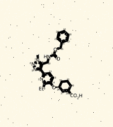 CCc1nc(-c2nnn(C)c2CNC(=O)OCc2ccccc2)ccc1O[C@@H]1C=C(C(=O)O)CCC1